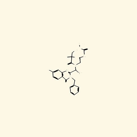 CC(C)C(c1nc2cc(Cl)ccc2c(=O)n1Cc1ccccc1)N(CCNC(=O)OC(C)(C)C)C(=O)C(C)(C)CCl